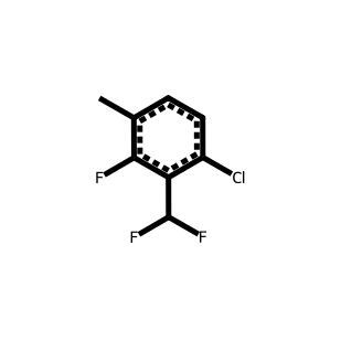 Cc1ccc(Cl)c(C(F)F)c1F